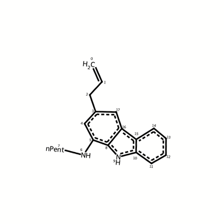 C=CCc1cc(NCCCCC)c2[nH]c3ccccc3c2c1